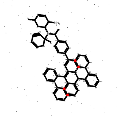 CC1C=CC(N)C(N(C(C)c2ccc(C3=CC4=C(c5ccccc5-c5ccccc5)c5ccccc5C(c5ccccc5C5C=CC=CC5)C4C=C3)cc2)C2(C)C#CC=CC2)C1